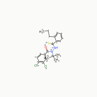 CCCc1ccccc1C(=S)NN(C(=O)c1ccc(Cl)c(Cl)c1)C(C)(C)C